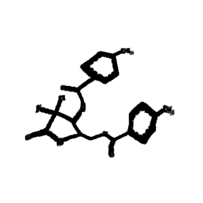 Cc1ccc(C(=O)OCC2OC(=O)C(F)(Cl)C2OC(=O)c2ccc(C)cc2)cc1